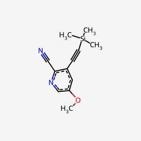 COc1cnc(C#N)c(C#C[Si](C)(C)C)c1